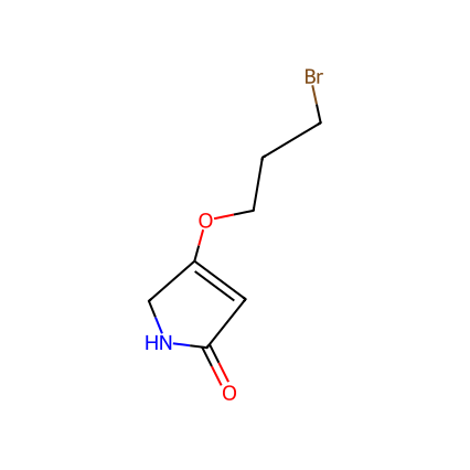 O=C1C=C(OCCCBr)CN1